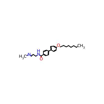 CCCCCCCCOc1ccc(-c2ccc(C(=O)NCC/C=N/C)cc2)cc1